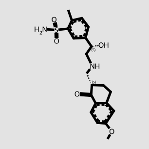 COc1ccc2c(c1)CC[C@@H](CNC[C@@H](O)c1ccc(C)c(S(N)(=O)=O)c1)C2=O